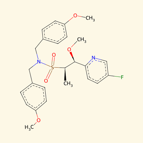 COc1ccc(CN(Cc2ccc(OC)cc2)S(=O)(=O)[C@H](C)[C@@H](OC)c2ccc(F)cn2)cc1